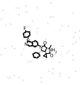 CC[C@@H]1C(=O)N(c2ccc3c(cnn3-c3ccc(F)cc3)c2)[C@@H](c2ccccc2)[C@@H]1C1(C(N)=O)CC1